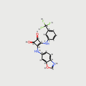 O=c1c(Nc2cccc(C(F)(F)F)c2)c(Nc2ccc3ncoc3c2)c1=O